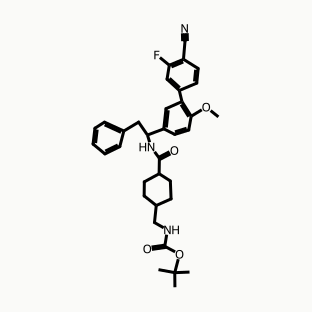 COc1ccc(C(Cc2ccccc2)NC(=O)C2CCC(CNC(=O)OC(C)(C)C)CC2)cc1-c1ccc(C#N)c(F)c1